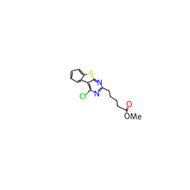 COC(=O)CCCCc1nc(Cl)c2c(n1)sc1ccccc12